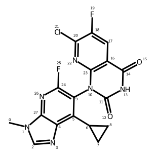 Cn1cnc2c(C3CC3)c(-n3c(=O)[nH]c(=O)c4cc(F)c(Cl)nc43)c(F)nc21